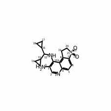 Nc1cnc2ccc3c(c2c1NC(C1CC1)C1CC1)CCS3(=O)=O